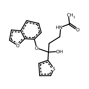 CC(=O)NCCC(O)(Oc1cccc2ccoc12)c1cccs1